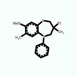 CCC1(C)CSc2cc(OC)c(C)cc2N(c2ccccc2)C1